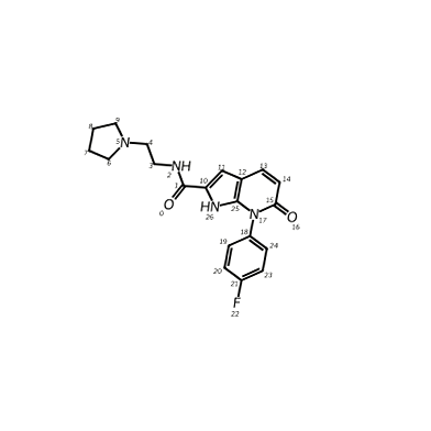 O=C(NCCN1CCCC1)c1cc2ccc(=O)n(-c3ccc(F)cc3)c2[nH]1